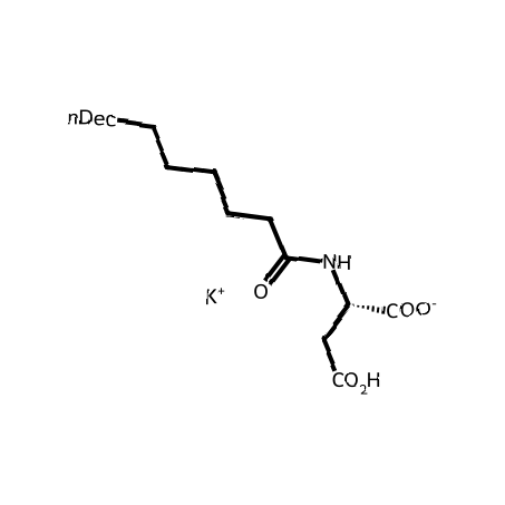 CCCCCCCCCCCCCCCC(=O)N[C@@H](CC(=O)O)C(=O)[O-].[K+]